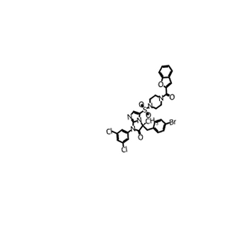 C[C@@]1(Cc2ccc(Br)cc2)C(=O)N(c2cc(Cl)cc(Cl)c2)c2ncc(S(=O)(=O)N3CCN(C(=O)c4cc5ccccc5o4)CC3)n21